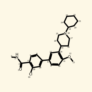 CNC(=O)c1ccc(-c2ccc(OC)c(C3CCN(C4CCCCC4)CC3)c2)cc1Cl